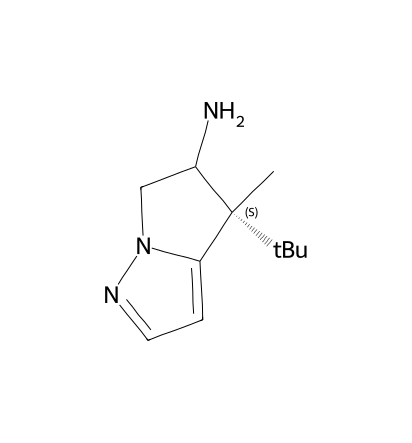 CC(C)(C)[C@]1(C)c2ccnn2CC1N